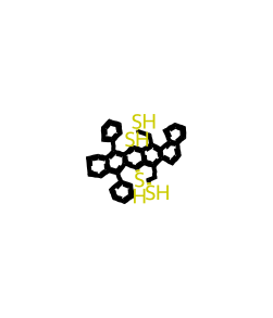 SCCc1c2ccc3ccccc3c2c(CCS)c2c(S)c3c(-c4ccccc4)c4ccccc4c(-c4ccccc4)c3c(S)c12